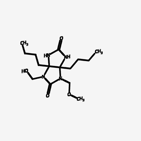 CCCCC12NC(=O)NC1(CCCC)N(COC)C(=O)N2CO